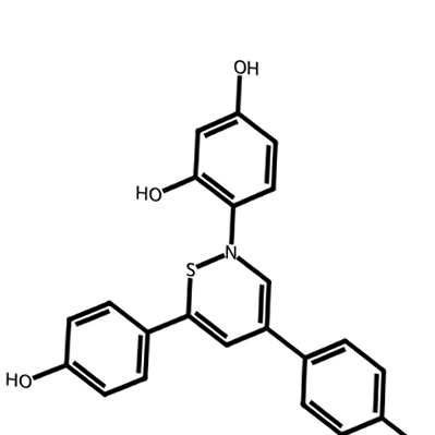 Oc1ccc(C2=CN(c3ccc(O)cc3O)SC(c3ccc(O)cc3)=C2)cc1